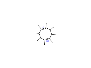 C/C1=C(\C)C(C)C(C)/C(C)=C(/C)C(C)C1C